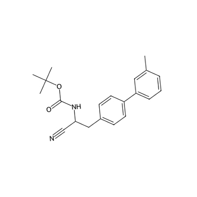 Cc1cccc(-c2ccc(CC(C#N)NC(=O)OC(C)(C)C)cc2)c1